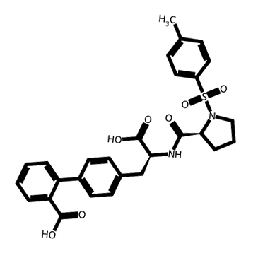 Cc1ccc(S(=O)(=O)N2CCC[C@H]2C(=O)N[C@@H](Cc2ccc(-c3ccccc3C(=O)O)cc2)C(=O)O)cc1